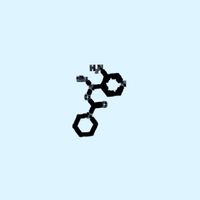 CC(C)(C)N(OC(=O)N1CCCCC1)c1ccncc1N